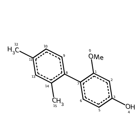 COc1cc(O)ccc1-c1ccc(C)cc1C